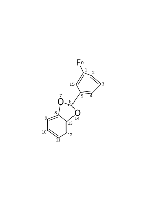 Fc1cccc([C]2Oc3ccccc3O2)c1